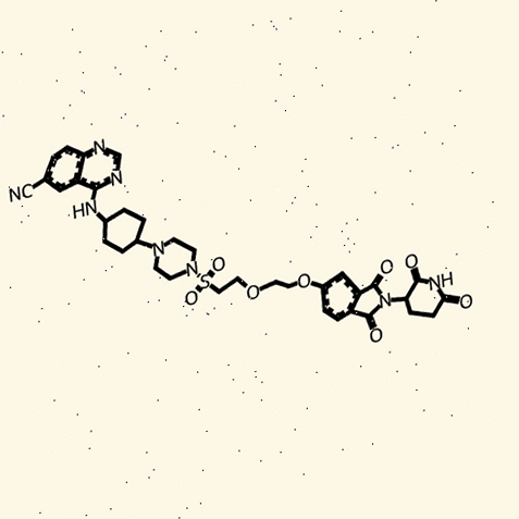 N#Cc1ccc2ncnc(NC3CCC(N4CCN(S(=O)(=O)CCOCCOc5ccc6c(c5)C(=O)N(C5CCC(=O)NC5=O)C6=O)CC4)CC3)c2c1